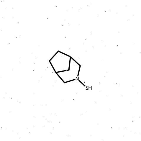 SN1CC2CCC(C2)C1